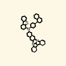 C1=Cc2c(c3c4c(n5c6cc7cc(N(c8ccc(-c9cccc%10ccccc9%10)cc8)c8cccc9c8sc8ccccc89)ccc7cc6n2c35)C=CCC4)CC1